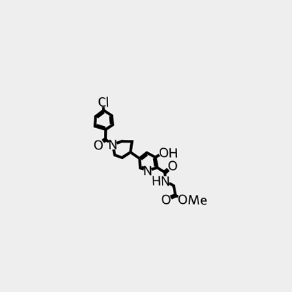 COC(=O)CNC(=O)c1ncc(C2CCN(C(=O)c3ccc(Cl)cc3)CC2)cc1O